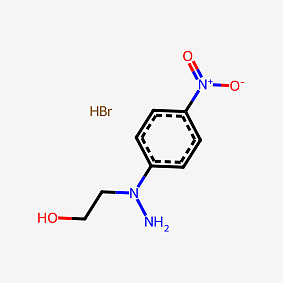 Br.NN(CCO)c1ccc([N+](=O)[O-])cc1